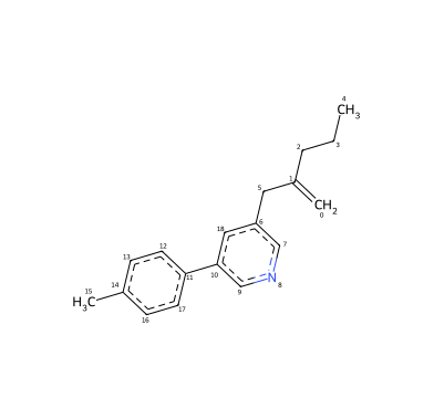 C=C(CCC)Cc1cncc(-c2ccc(C)cc2)c1